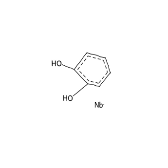 Oc1ccccc1O.[Nb]